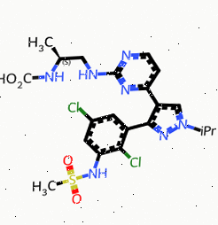 CC(C)n1cc(-c2ccnc(NC[C@H](C)NC(=O)O)n2)c(-c2cc(Cl)cc(NS(C)(=O)=O)c2Cl)n1